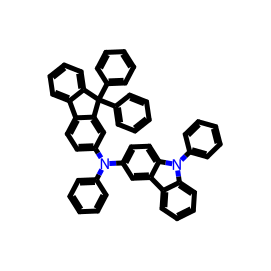 c1ccc(N(c2ccc3c(c2)C(c2ccccc2)(c2ccccc2)c2ccccc2-3)c2ccc3c(c2)c2ccccc2n3-c2ccccc2)cc1